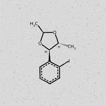 CC1O[C@H](c2ccccc2I)[C@@H](C)O1